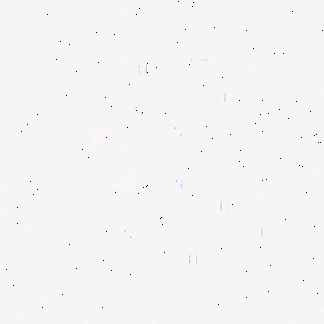 Cc1cccc2c1B1c3nccc(C(C)(C)C)c3N(c3ccccc3)c3nc(C(C)(C)C)nc(c31)O2